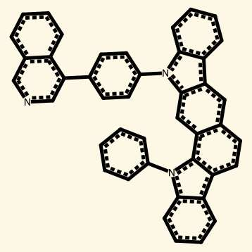 c1ccc(-n2c3ccccc3c3ccc4cc5c6ccccc6n(-c6ccc(-c7cncc8ccccc78)cc6)c5cc4c32)cc1